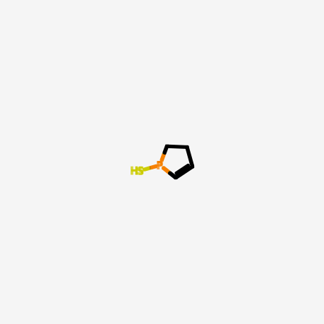 SP1C=CCC1